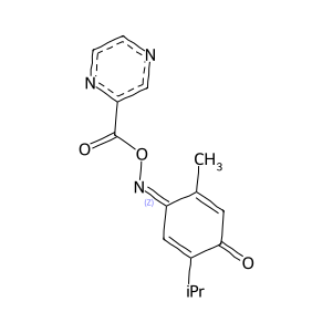 CC1=CC(=O)C(C(C)C)=C/C1=N/OC(=O)c1cnccn1